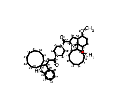 COC1CCC(OC)C2(C3CCCCCCCC3)NC(C(=O)N3CCN(C(=O)CC4c5ccccc5NC45CCCCCCCCC5)CC3)CC12